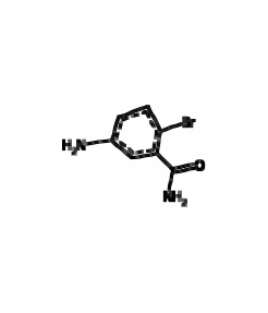 NC(=O)c1cc(N)ccc1Br